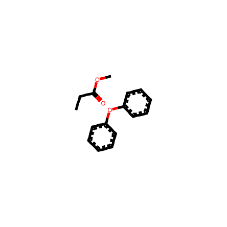 CCC(=O)OC.c1ccc(Oc2ccccc2)cc1